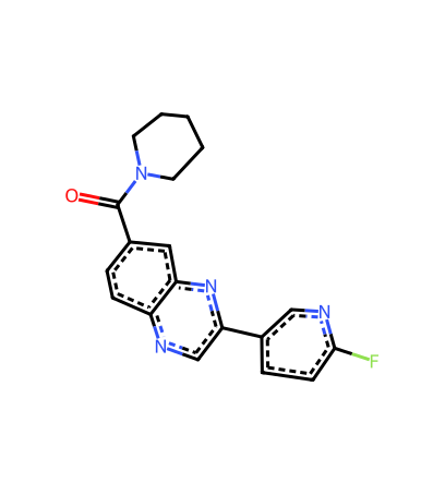 O=C(c1ccc2ncc(-c3ccc(F)nc3)nc2c1)N1CCCCC1